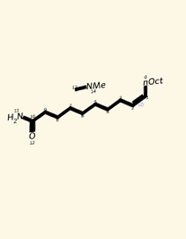 CCCCCCCC/C=C\CCCCCCCC(N)=O.CNC